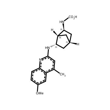 COc1ccc2nc(N[C@H]3C[C@@H]4C[C@H]3[C@@H](NC(=O)O)C4)cc(C)c2c1